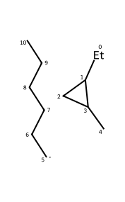 [CH2]CC1CC1C.[CH2]CCCCC